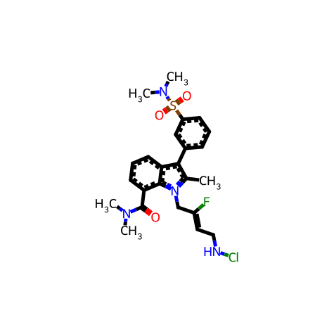 Cc1c(-c2cccc(S(=O)(=O)N(C)C)c2)c2cccc(C(=O)N(C)C)c2n1C/C(F)=C/CNCl